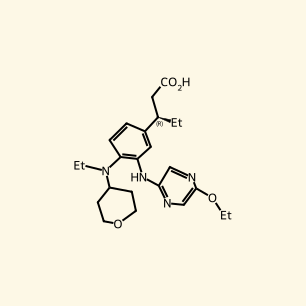 CCOc1cnc(Nc2cc([C@H](CC)CC(=O)O)ccc2N(CC)C2CCOCC2)cn1